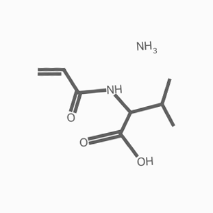 C=CC(=O)NC(C(=O)O)C(C)C.N